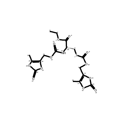 CCOC(=O)[C@H](CSC(=O)OCc1oc(=O)oc1C)NC(=O)OCc1oc(=O)oc1C